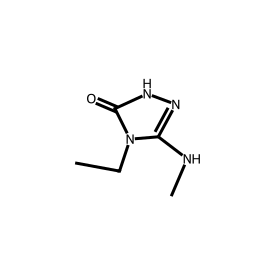 CCn1c(NC)n[nH]c1=O